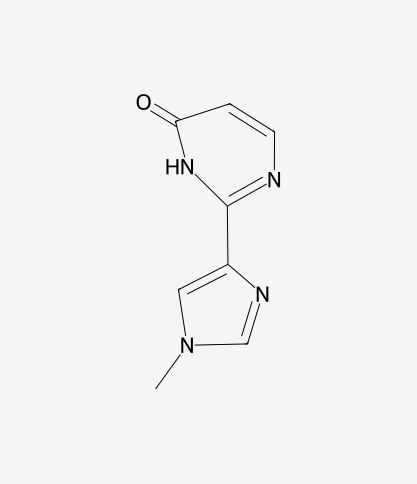 Cn1cnc(-c2nccc(=O)[nH]2)c1